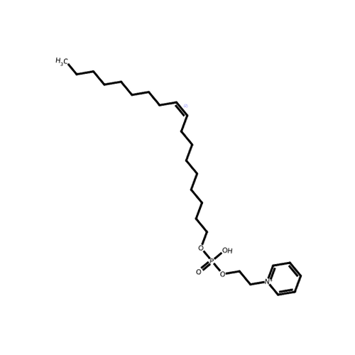 CCCCCCCC/C=C\CCCCCCCCOP(=O)(O)OCC[n+]1ccccc1